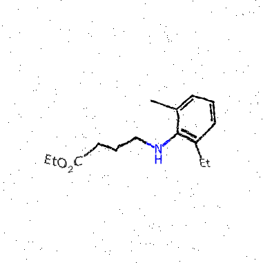 CCOC(=O)CCCNc1c(C)cccc1CC